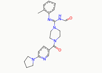 Cc1ccccc1/N=C(\NC=O)N1CCN(C(=O)c2ccc(N3CCCC3)nc2)CC1